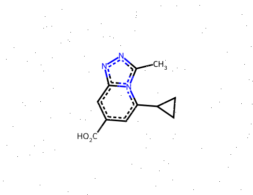 Cc1nnc2cc(C(=O)O)cc(C3CC3)n12